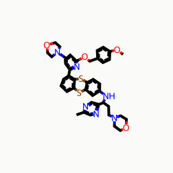 COc1ccc(COc2cc(N3CCOCC3)cc(-c3cccc4c3Sc3ccc(NC(CCN5CCOCC5)c5cnc(C)cn5)cc3S4)n2)cc1